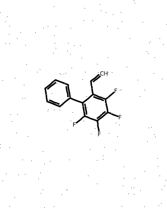 [CH]=Cc1c(F)c(F)c(F)c(F)c1-c1ccccc1